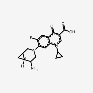 NC1CN(c2cc3c(cc2F)c(=O)c(C(=O)O)cn3C2CC2)CC2C[C@@H]12